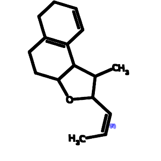 C/C=C\C1OC2CCC3=C(C=CCC3)C2C1C